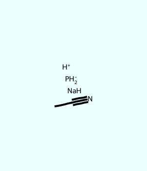 CC#N.[H+].[NaH].[PH2-]